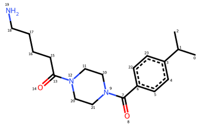 CC(C)c1ccc(C(=O)N2CCN(C(=O)CCCCN)CC2)cc1